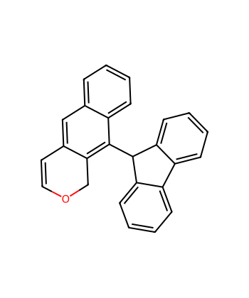 C1=Cc2cc3ccccc3c(C3c4ccccc4-c4ccccc43)c2CO1